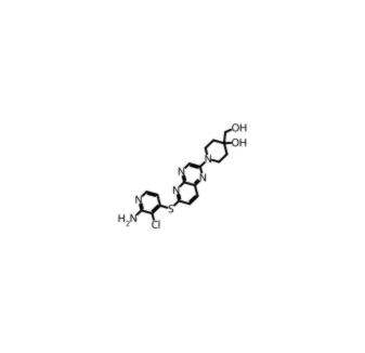 Nc1nccc(Sc2ccc3nc(N4CCC(O)(CO)CC4)cnc3n2)c1Cl